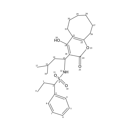 CCC(c1ccccc1)S(=O)(=O)NC(CC(C)C)c1c(O)c2c(oc1=O)CCCCCC2